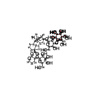 C=C1CC2C3CC4C(CCC[C@@]4(C)C(=O)OC4OCCCC4O[C@@H]4O[C@H](CO)[C@@H](O)[C@H](O)[C@H]4O)C2[C@@H](C)C[C@]1(O[C@@H]1O[C@H](CO)[C@@H](O)[C@H](O[C@@H]2O[C@H](CO)[C@@H](O)[C@H](O)[C@H]2O)[C@H]1O[C@@H]1O[C@H](CO)[C@@H](O)[C@H](O)[C@H]1O)C3